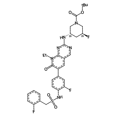 CCn1c(=O)c(-c2ccc(NS(=O)(=O)Cc3ccccc3F)c(F)c2)cc2cnc(N[C@H]3C[C@H](F)CN(C(=O)OC(C)(C)C)C3)nc21